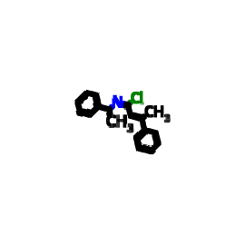 C/C(=C\C(Cl)=N/C(C)c1ccccc1)c1ccccc1